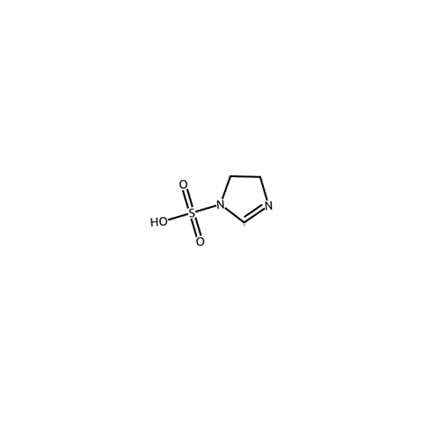 O=S(=O)(O)N1[C]=NCC1